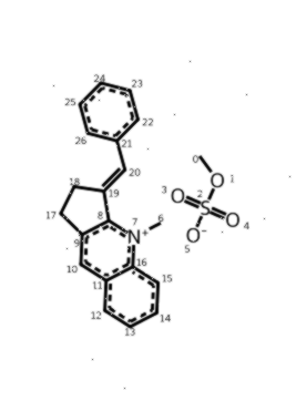 COS(=O)(=O)[O-].C[n+]1c2c(cc3ccccc31)CC/C2=C\c1ccccc1